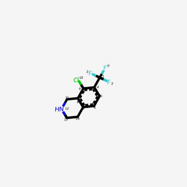 FC(F)(F)c1ccc2c(c1Cl)CNCC2